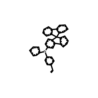 C=Cc1ccc(N(c2ccccc2)c2ccc3c(c2)-c2ccccc2C32c3ccccc3-c3ccccc32)cc1